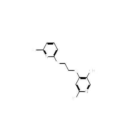 Cc1cnc(Br)cc1OCCOc1cccc(Cl)n1